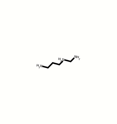 NCCC[SiH2]CN